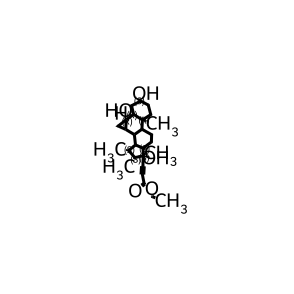 CCOC(=O)C#C[C@]1(O)[C@@H](C)[C@@H](C)C2C3C4C[C@H]4[C@]4(O)C[C@@H](O)CC[C@]4(C)C3CC[C@@]21C